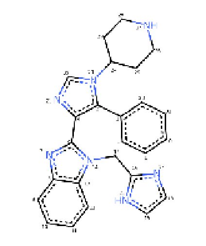 c1ccc(-c2c(-c3nc4ccccc4n3Cc3ncc[nH]3)ncn2C2CCNCC2)cc1